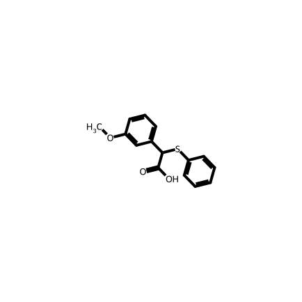 COc1cccc(C(Sc2ccccc2)C(=O)O)c1